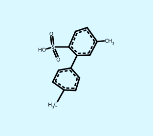 Cc1ccc(-c2cc(C)ccc2S(=O)(=O)O)cc1